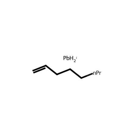 C=CCCCCCC.[PbH2]